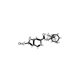 O=Cc1cc2cnc(C(=O)N[C@H]3CN4CCC3CC4)cc2o1